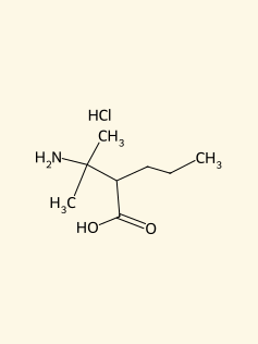 CCCC(C(=O)O)C(C)(C)N.Cl